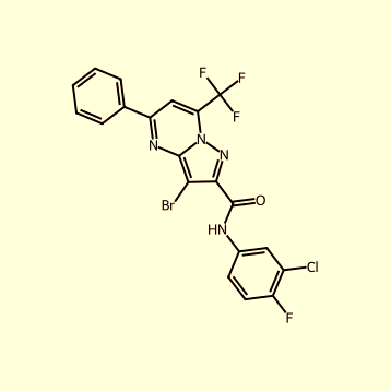 O=C(Nc1ccc(F)c(Cl)c1)c1nn2c(C(F)(F)F)cc(-c3ccccc3)nc2c1Br